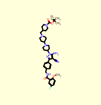 COc1ccc(F)cc1C(=O)NCc1ccc(-c2nn(C3CCN(C4CCN(CC5CCN(C(=O)OC(C)(C)C)CC5)CC4)CC3)c(N)c2C#N)cc1